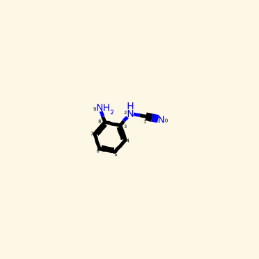 N#CNc1ccccc1N